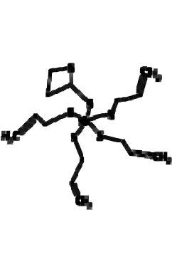 C=CC[S][Sb]([S]CC=C)([S]CC=C)([S]CC=C)[S]C1CCS1